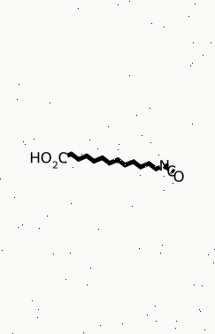 O=C=NCCCCCCCCCCCCC(=O)O